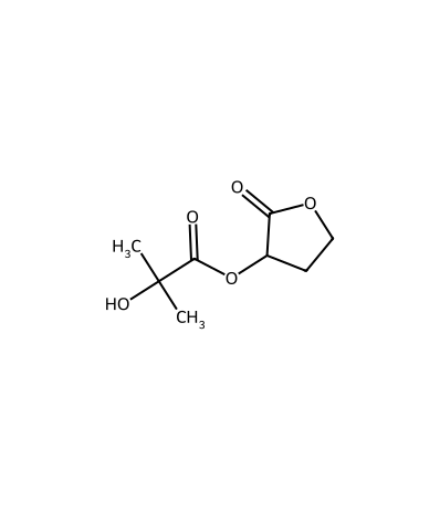 CC(C)(O)C(=O)OC1CCOC1=O